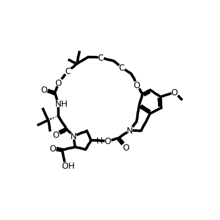 COc1cc2c3c(c1)OCCCCCC(C)(C)COC(=O)N[C@@H](C(C)(C)C)C(=O)N1C[C@@H](CC1C(=O)O)OC(=O)N(C2)C3